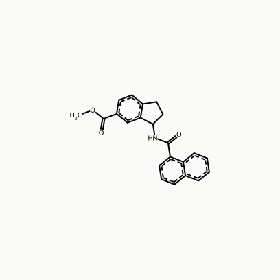 COC(=O)c1ccc2c(c1)C(NC(=O)c1cccc3ccccc13)CC2